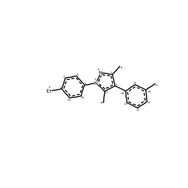 [CH2]Cc1ccc(-n2nc(C)c(-c3cccc(C)c3)c2C)cc1